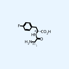 C[C@H](N)C(=O)N[C@H](Cc1ccc(F)cc1)C(=O)O